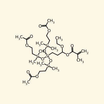 C=C(C)C(=O)OC(CC[Si](O[Si](C)(C)CCOC(C)=O)(O[Si](C)(C)CCOC(C)=O)O[Si](C)(C)CCOC(C)=O)OCC